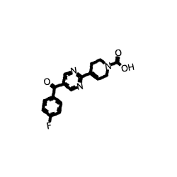 O=C(c1ccc(F)cc1)c1cnc(C2=CCN(C(=O)O)CC2)nc1